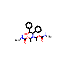 CCCCNC(=O)OC(C)N(C(C)OC(=O)NCCCC)C(c1ccccc1)C(O)c1ccccc1